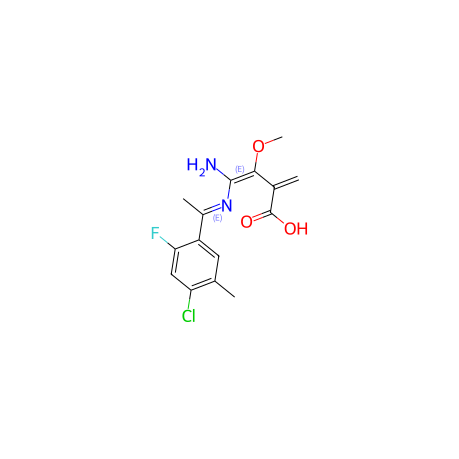 C=C(C(=O)O)/C(OC)=C(N)\N=C(/C)c1cc(C)c(Cl)cc1F